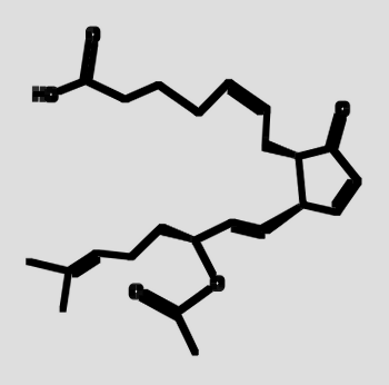 CC(=O)O[C@H](/C=C/[C@@H]1C=CC(=O)[C@@H]1C/C=C\CCCC(=O)O)CCC=C(C)C